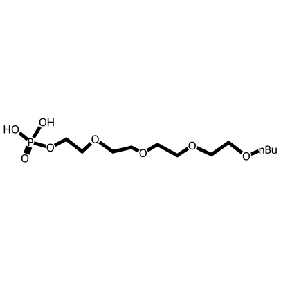 CCCCOCCOCCOCCOCCOP(=O)(O)O